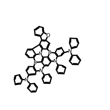 c1ccc(N(c2ccccc2)c2ccc3c(c2)N(c2ccccc2)c2cc4c5c6c2B3c2cccc3c7c8c(cc(c7n-6c23)B5c2ccc(N(c3ccccc3)c3ccccc3)cc2N4c2ccccc2)oc2ccccc28)cc1